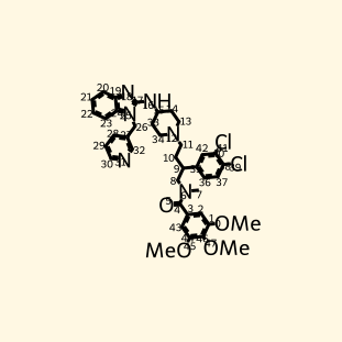 COc1cc(C(=O)N(C)CC(CCN2CCC(Nc3nc4ccccc4n3Cc3cccnc3)CC2)c2ccc(Cl)c(Cl)c2)cc(OC)c1OC